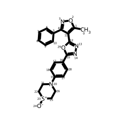 Cc1onc(-c2ccccc2)c1-c1nnc(-c2ccc(N3CC[S+]([O-])CC3)cc2)o1